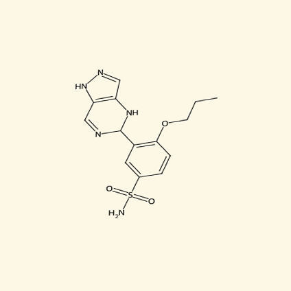 CCCOc1ccc(S(N)(=O)=O)cc1C1N=Cc2[nH]ncc2N1